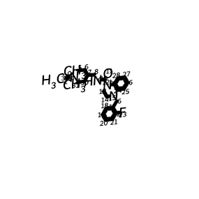 CC(C)(C)N1CCC(CNC(=O)N2CCN(Cc3ccccc3F)c3ccccc32)CC1